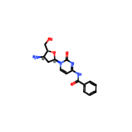 N[C@@H]1C[C@H](n2ccc(NC(=O)c3ccccc3)nc2=O)OC1CO